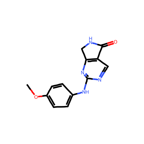 COc1ccc(Nc2ncc3c(n2)CNC3=O)cc1